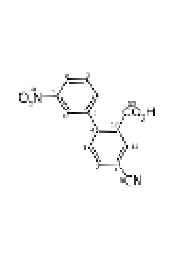 N#Cc1ccc(-c2cccc([N+](=O)[O-])c2)c(C(=O)O)c1